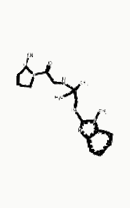 Cn1c(NCC(C)(C)NCC(=O)N2CCC[C@H]2C#N)nc2ccccc21